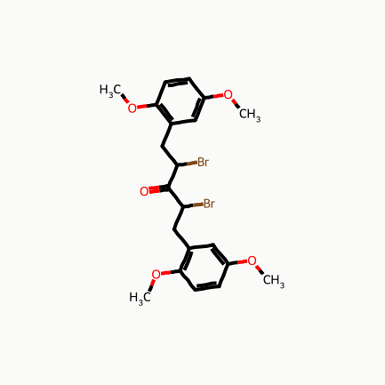 COc1ccc(OC)c(CC(Br)C(=O)C(Br)Cc2cc(OC)ccc2OC)c1